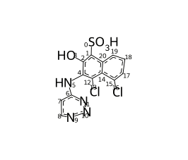 O=S(=O)(O)c1c(O)c(Nc2ccnnn2)c(Cl)c2c(Cl)cccc12